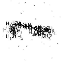 CN(C)C(=O)OC(C)(C(=O)N[C@H](c1nc(-c2cnc(-c3cnc(-c4c[nH]c([C@@H](NC(=O)[C@](C)(OC(=O)N(C)C)C(C)(C)C)C(C)(C)C)n4)cn3)cn2)c[nH]1)C(C)(C)C)C(C)(C)C